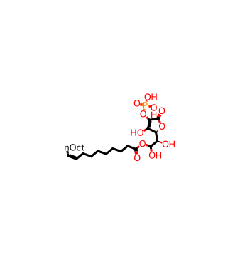 CCCCCCCC/C=C\CCCCCCCC(=O)OC(O)[C@H](O)[C@H]1OC(=O)C(OP(=O)(O)O)=C1O